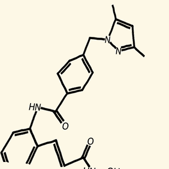 Cc1cc(C)n(Cc2ccc(C(=O)Nc3ccccc3/C=C/C(=O)NO)cc2)n1